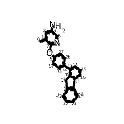 Cc1cc(N)cnc1Oc1ccc(-c2cccc3c2Cc2ccccc2-3)cc1